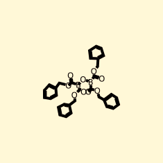 O=C(OCc1ccccc1)B(OB(C(=O)OCc1ccccc1)C(=O)OCc1ccccc1)C(=O)OCc1ccccc1